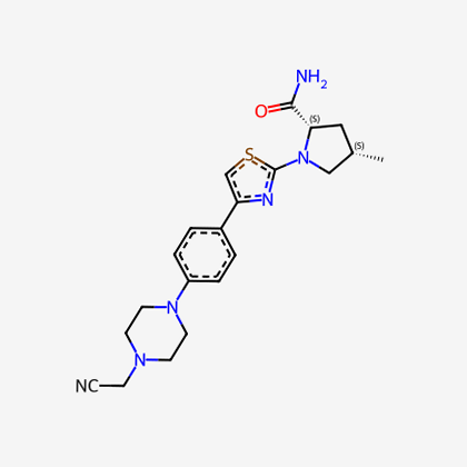 C[C@H]1C[C@@H](C(N)=O)N(c2nc(-c3ccc(N4CCN(CC#N)CC4)cc3)cs2)C1